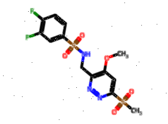 COc1cc(S(C)(=O)=O)nnc1CNS(=O)(=O)c1ccc(F)c(F)c1